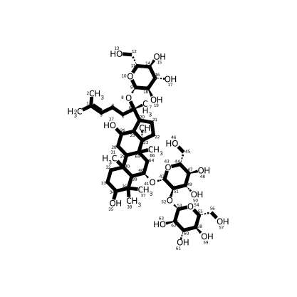 CC(C)=CCC[C@](C)(O[C@@H]1O[C@H](CO)[C@@H](O)[C@H](O)[C@H]1O)C1CC[C@]2(C)C1C(O)CC1C3(C)CCC(O)C(C)(C)C3[C@@H](O[C@@H]3O[C@H](CO)[C@@H](O)[C@H](O)[C@H]3O[C@@H]3O[C@H](CO)[C@@H](O)[C@H](O)[C@H]3O)CC12C